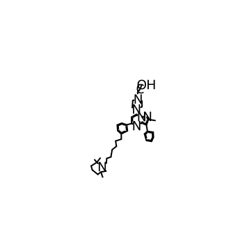 Cc1nn2c(N3CCN(CCO)CC3)cc(-c3cccc(CCCCCCCN4C(C)(C)CCCC4(C)C)c3)nc2c1-c1ccccc1